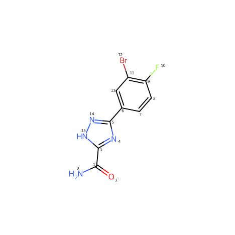 NC(=O)c1nc(-c2ccc(F)c(Br)c2)n[nH]1